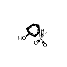 N[SH](=O)=O.Oc1ccccc1